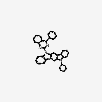 c1ccc(-c2nc(-n3c4ccccc4c4cc5c(cc43)c3ccccc3n5-c3ccccc3)nc3ccccc23)cc1